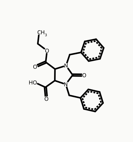 CCOC(=O)C1C(C(=O)O)N(Cc2ccccc2)C(=O)N1Cc1ccccc1